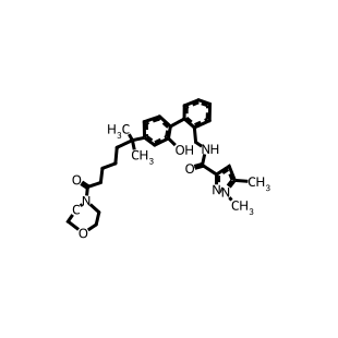 Cc1cc(C(=O)NCc2ccccc2-c2ccc(C(C)(C)CCCCC(=O)N3CCOCC3)cc2O)nn1C